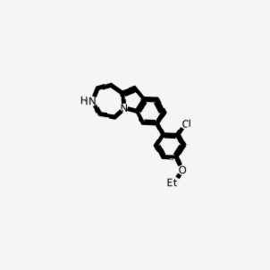 CCOc1ccc(-c2ccc3cc4n(c3c2)CCNCC4)c(Cl)c1